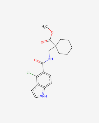 COC(=O)C1(CNC(=O)c2ccc3[nH]ccc3c2Cl)CCCCC1